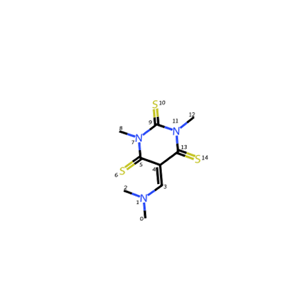 CN(C)C=C1C(=S)N(C)C(=S)N(C)C1=S